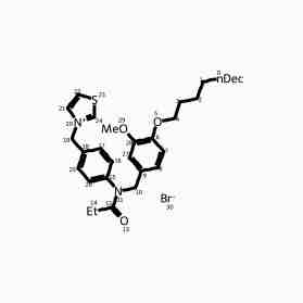 CCCCCCCCCCCCCCOc1ccc(CN(C(=O)CC)c2ccc(C[n+]3ccsc3)cc2)cc1OC.[Br-]